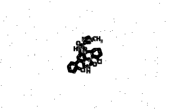 Cn1cnc(S(=O)(=O)Nc2cc(-c3ccccc3Cl)c3c(c2)N(c2c(Cl)cccc2Cl)C(=O)NC3)c1